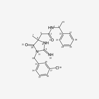 CC(NC(=O)CC1(C)NC(=N)N(Cc2cccc(Cl)c2)C1=O)c1ccccc1